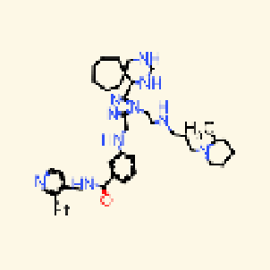 CCc1cnccc1CNC(=O)c1cccc(NCc2nnc(C3NCNCC34CCCCCC4)n2CCNCCCN2CCCCC2C)c1